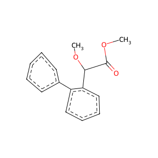 COC(=O)C(OC)c1ccccc1-c1ccccc1